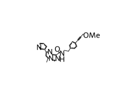 COCC#Cc1ccc(CCNC(=O)c2ncn3c(C)cc(-c4cccnc4)nc23)cc1